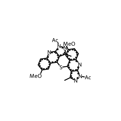 COc1ccc2nc3c(c(C)nn3C(C)=O)c(Sc3c4cc(OC)ccc4nc4c3c(C)nn4C(C)=O)c2c1